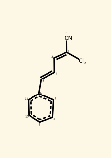 N#CC(Cl)=CC=Cc1ccccc1